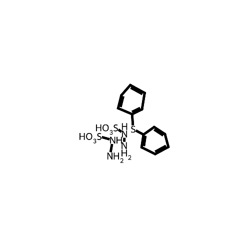 NNS(=O)(=O)O.NNS(=O)(=O)O.c1ccc(Sc2ccccc2)cc1